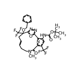 CN1CC/C=C/CC(OCc2ccccc2)(C(F)(F)F)c2nnc(o2)-c2nc(c(C(F)(F)F)cc2NC(=O)OC(C)(C)C)C1=O